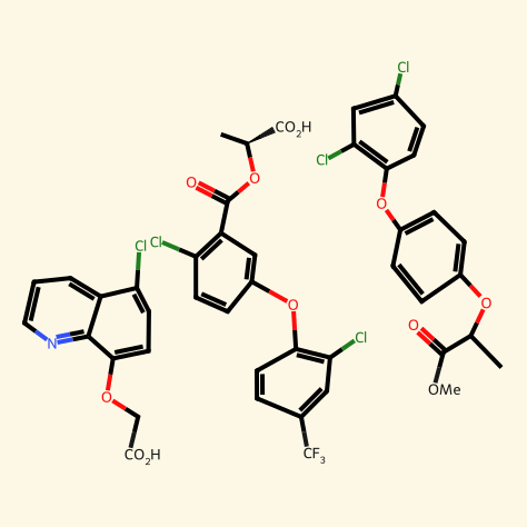 COC(=O)C(C)Oc1ccc(Oc2ccc(Cl)cc2Cl)cc1.C[C@H](OC(=O)c1cc(Oc2ccc(C(F)(F)F)cc2Cl)ccc1Cl)C(=O)O.O=C(O)COc1ccc(Cl)c2cccnc12